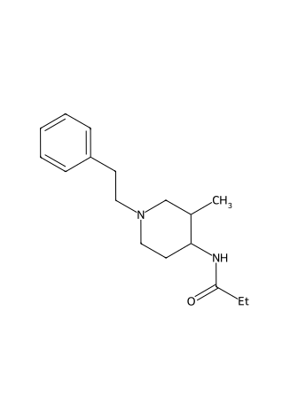 CCC(=O)NC1CCN(CCc2ccccc2)CC1C